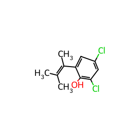 CC(C)=C(C)c1cc(Cl)cc(Cl)c1O